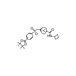 CC1(C)OB(c2ccc(S(=O)(=O)CC34CCC(C(=O)NC5CCC5)(CC3)CC4)cc2)OC1(C)C